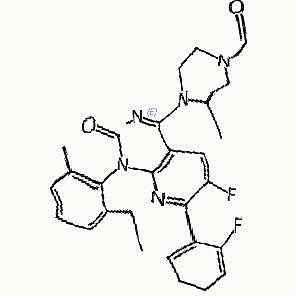 CCc1cccc(C)c1N(C=O)c1nc(C2=CCCC=C2F)c(F)cc1/C(=N\C)N1CCN(C=O)CC1C